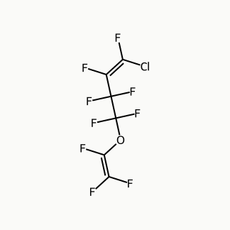 FC(F)=C(F)OC(F)(F)C(F)(F)C(F)=C(F)Cl